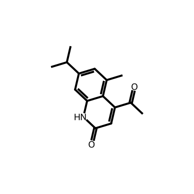 CC(=O)c1cc(=O)[nH]c2cc(C(C)C)cc(C)c12